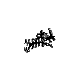 CC(C)C(F)(F)C(F)(OC(F)(F)C(OC(F)(F)C(F)F)C(F)(F)F)C(F)(F)C(C)(F)F